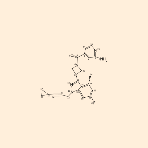 Nc1cc(C(=O)N2CC(c3nn(CC#CC4CC4)c4cc(F)cc(F)c34)C2)ccn1